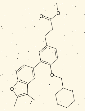 COC(=O)CCc1ccc(OCC2CCCCC2)c(-c2ccc3oc(C)c(C)c3c2)c1